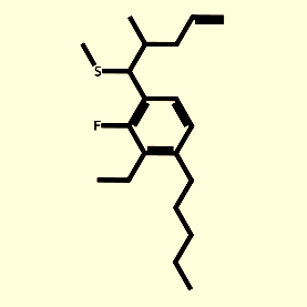 C=CCC(C)C(SC)c1ccc(CCCCC)c(CC)c1F